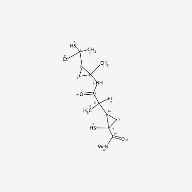 CCC(C)(S)C1CC1(C)NC(=O)C(C)(CC)C1CC1(S)C(=O)NC